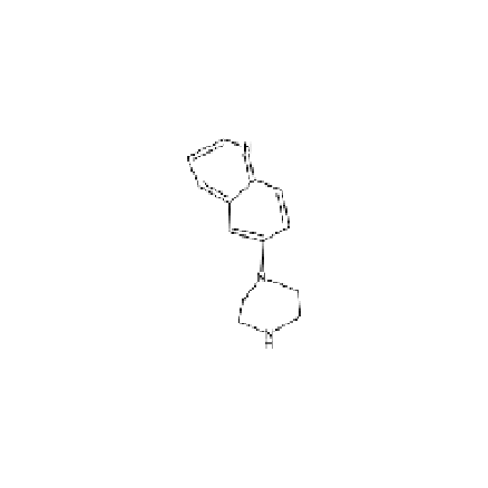 c1cnc2ccc(N3CCNCC3)cc2c1